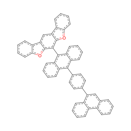 c1ccc2c(c1)cc(-c1ccc(-c3c4ccccc4c(-c4c5oc6ccccc6c5cc5c4oc4ccccc45)c4ccccc34)cc1)c1ccccc12